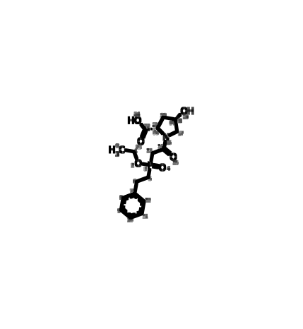 CCOP(=O)(CCc1ccccc1)CC(=O)N1C[C@H](O)C[C@H]1C(=O)O